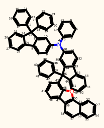 c1ccc(N(c2ccc3c(c2)C(c2ccccc2)(c2ccccc2)c2ccccc2-3)c2ccc3c(c2)C(c2ccccc2)(c2cccc4c2oc2c5ccccc5ccc42)c2ccccc2-3)cc1